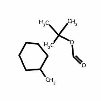 CC(C)(C)OC=O.CC1CCCCC1